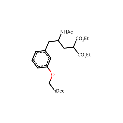 CCCCCCCCCCCOc1cccc(CC(CC(C(=O)OCC)C(=O)OCC)NC(C)=O)c1